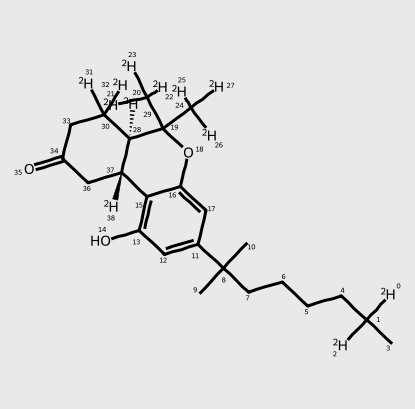 [2H]C([2H])(C)CCCCC(C)(C)c1cc(O)c2c(c1)OC(C([2H])([2H])[2H])(C([2H])([2H])[2H])[C@]1([2H])C([2H])([2H])CC(=O)C[C@@]21[2H]